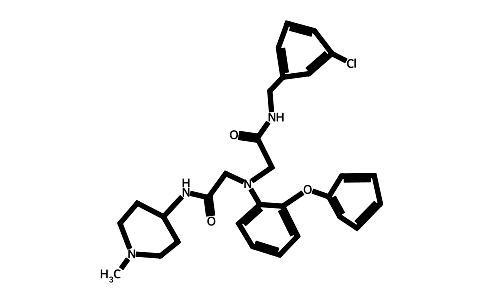 CN1CCC(NC(=O)CN(CC(=O)NCc2cccc(Cl)c2)c2ccccc2Oc2ccccc2)CC1